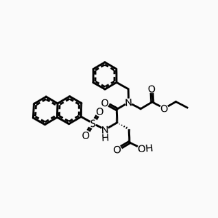 CCOC(=O)CN(Cc1ccccc1)C(=O)[C@H](CC(=O)O)NS(=O)(=O)c1ccc2ccccc2c1